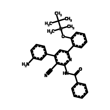 CC(C)(C)[Si](C)(C)Oc1ccccc1-c1cc(-c2cccc(N)c2)c(C#N)c(NC(=O)c2ccccc2)n1